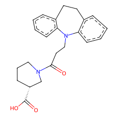 O=C(O)[C@@H]1CCCN(C(=O)CCN2c3ccccc3CCc3ccccc32)C1